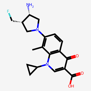 Cc1c(N2C[C@H](CF)[C@H](N)C2)ccc2c(=O)c(C(=O)O)cn(C3CC3)c12